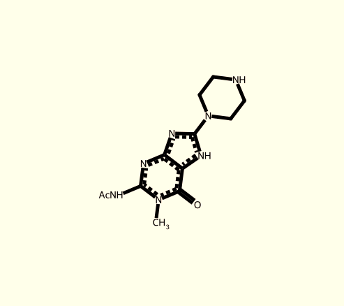 CC(=O)Nc1nc2nc(N3CCNCC3)[nH]c2c(=O)n1C